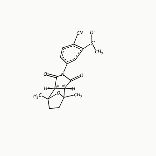 C[S+]([O-])c1cc(N2C(=O)[C@@H]3[C@H](C2=O)C2(C)CCC3(C)O2)ccc1C#N